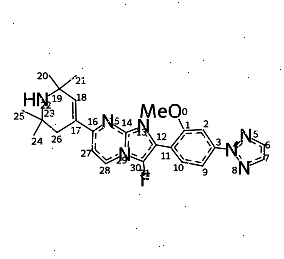 COc1cc(-n2nccn2)ccc1-c1nc2nc(C3=CC(C)(C)NC(C)(C)C3)ccn2c1F